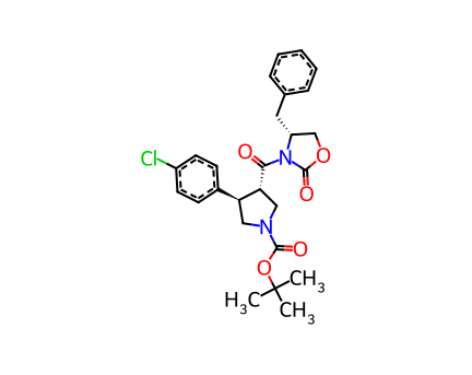 CC(C)(C)OC(=O)N1C[C@@H](C(=O)N2C(=O)OC[C@H]2Cc2ccccc2)[C@H](c2ccc(Cl)cc2)C1